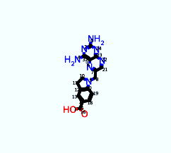 Nc1nc(N)c2nc(CN3CCc4cc(C(=O)O)ccc43)cnc2n1